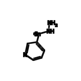 N[NH][Sn][c]1cccnc1